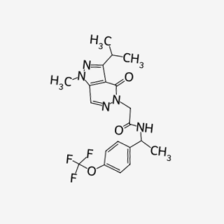 CC(C)c1nn(C)c2cnn(CC(=O)NC(C)c3ccc(OC(F)(F)F)cc3)c(=O)c12